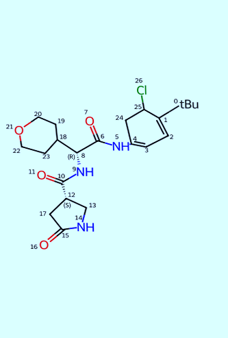 CC(C)(C)C1=CC=C(NC(=O)[C@H](NC(=O)[C@@H]2CNC(=O)C2)C2CCOCC2)CC1Cl